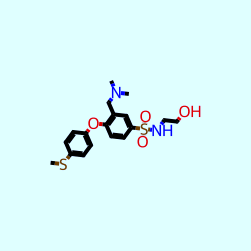 CSc1ccc(Oc2ccc(S(=O)(=O)NCCO)cc2CN(C)C)cc1